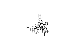 CCC(OC(=O)C(C)(C)CC)C(=O)OCC(F)(F)F